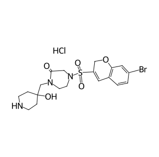 Cl.O=C1CN(S(=O)(=O)C2=Cc3ccc(Br)cc3OC2)CCN1CC1(O)CCNCC1